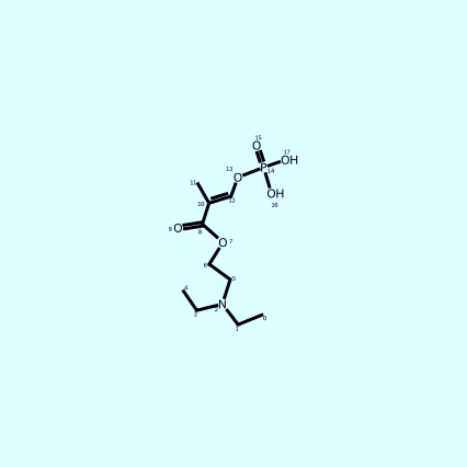 CCN(CC)CCOC(=O)C(C)=COP(=O)(O)O